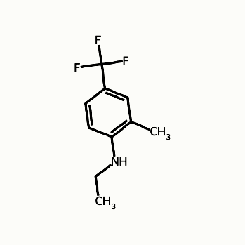 CCNc1ccc(C(F)(F)F)cc1C